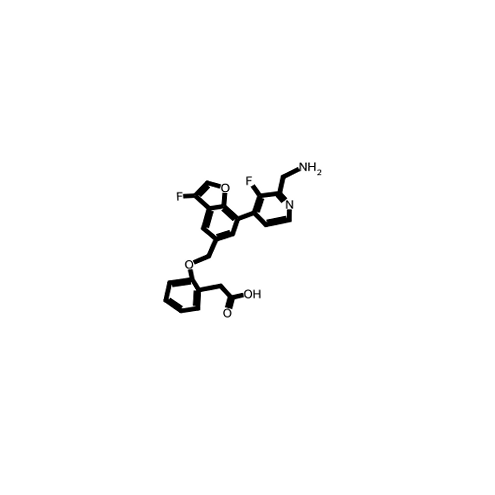 NCc1nccc(-c2cc(COc3ccccc3CC(=O)O)cc3c(F)coc23)c1F